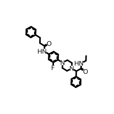 CCNC(=O)C(c1ccccc1)N1CCN(c2ccc(NC(=O)CCc3ccccc3)cc2F)CC1